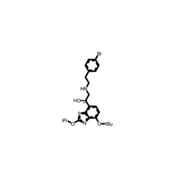 CC(C)Oc1nc2c(OC(C)(C)C)ccc([C@@H](O)CNCCc3ccc(Br)cc3)c2s1